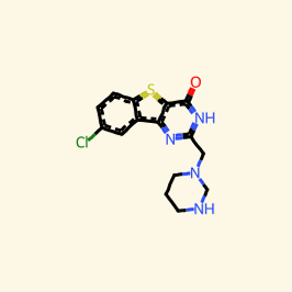 O=c1[nH]c(CN2CCCNC2)nc2c1sc1ccc(Cl)cc12